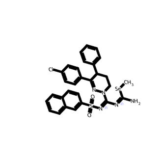 C[Se]/C(N)=N\C(=N\S(=O)(=O)c1ccc2ccccc2c1)N1CCC(c2ccccc2)C(c2ccc(Cl)cc2)=N1